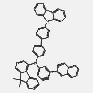 CC1(C)c2ccccc2-c2c(N(c3ccc(-c4ccc(-n5c6ccccc6c6ccccc65)cc4)cc3)c3cc#cc(-c4ccc5ccccc5c4)c3)cccc21